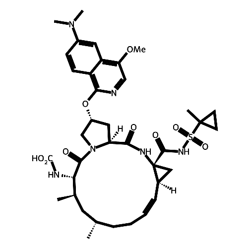 COc1cnc(O[C@@H]2C[C@H]3C(=O)N[C@]4(C(=O)NS(=O)(=O)C5(C)CC5)C[C@H]4C=CCC[C@H](C)C[C@@H](C)[C@H](NC(=O)O)C(=O)N3C2)c2ccc(N(C)C)cc12